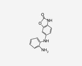 Nc1ccccc1Nc1ccc2[nH]c(=O)oc2c1